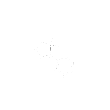 ClC1(Cl)CCCN1c1ccccc1